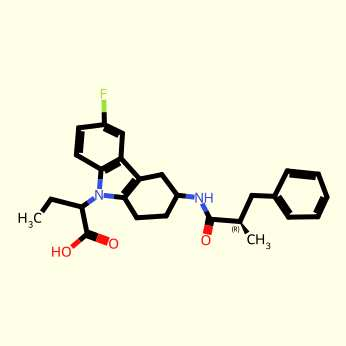 CCC(C(=O)O)n1c2c(c3cc(F)ccc31)CC(NC(=O)[C@H](C)Cc1ccccc1)CC2